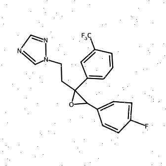 Fc1ccc(C2OC2(CCn2cncn2)c2cccc(C(F)(F)F)c2)cc1